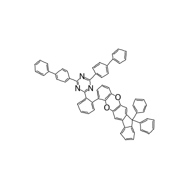 c1ccc(-c2ccc(-c3nc(-c4ccc(-c5ccccc5)cc4)nc(-c4ccccc4-c4cccc5c4Oc4cc6c(cc4O5)C(c4ccccc4)(c4ccccc4)c4ccccc4-6)n3)cc2)cc1